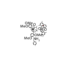 COc1ccc(C(=O)CC(C)(C)CC(C)C(P=O)C(=O)c2ccc(OC)cc2OC)c(OC)c1.Cc1cc(C)c(C(=O)P(=O)(C(=O)c2c(C)cc(C)cc2C)c2ccccc2)c(C)c1.NCc1cc[c]cc1